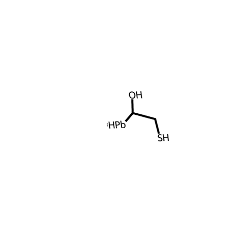 O[CH]([PbH])CS